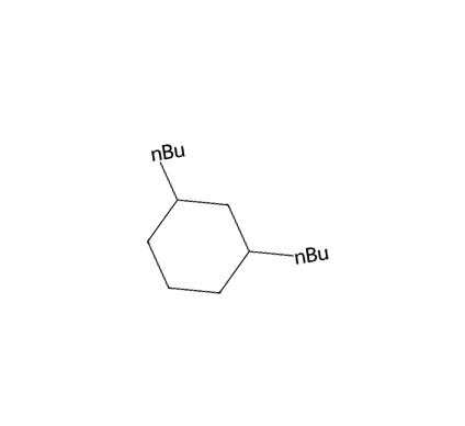 CC[CH]CC1CCCC(CCCC)C1